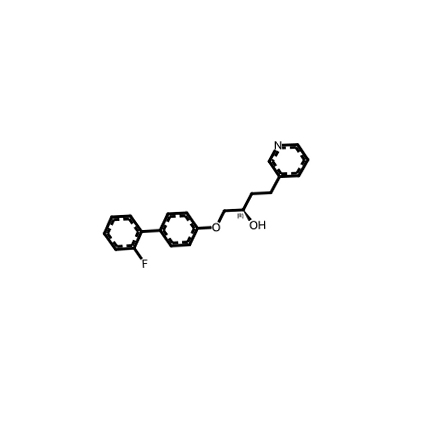 O[C@H](CCc1cccnc1)COc1ccc(-c2ccccc2F)cc1